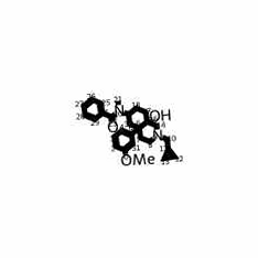 COc1cccc(C23CCN(CC4CC4)CC2(O)CCC(N(C)C(=O)c2ccccc2)C3)c1